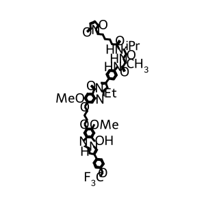 CC[C@]12C=Nc3cc(OCCCOc4cc5c(cc4OC)C(O)N4C=C(c6ccc(OC(F)(F)F)cc6)C[C@H]4C=N5)c(OC)cc3C(=O)N1C=C(c1ccc(NC(=O)[C@H](C)NC(=O)[C@@H](NC(=O)CCCCCN3C(=O)C=CC3=O)C(C)C)cc1)C2